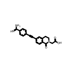 N=C(N)c1ccc(C#Cc2ccc3c(c2)CCN(CC(=O)O)C3=O)cc1